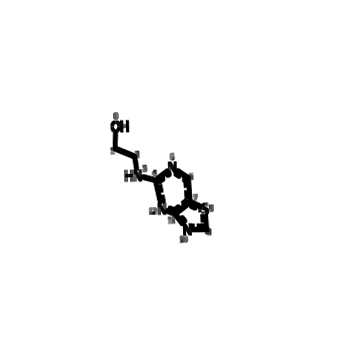 OCCNc1ncc2s[c]nc2n1